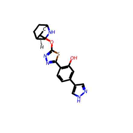 Oc1cc(-c2cn[nH]c2)ccc1-c1nnc(O[C@@H]2CC3CCC2CN3)s1